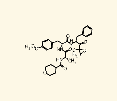 COc1ccc(C[C@H](NC(=O)[C@@H](C)NC(=O)C2CCOCC2)C(=O)N[C@@H](Cc2ccccc2)C(=O)[C@@]2(C)CO2)cc1